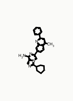 Cc1cc(-c2ccccc2)nc2cc(-c3cn4c(C5CC[CH]CC5)ncc4c(N)n3)ccc12